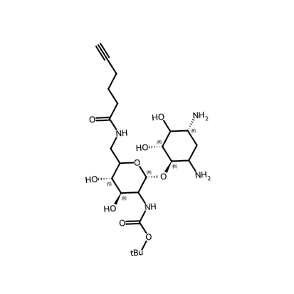 C#CCCCC(=O)NCC1O[C@H](O[C@@H]2C(N)C[C@@H](N)C(O)[C@H]2O)C(NC(=O)OC(C)(C)C)[C@@H](O)[C@@H]1O